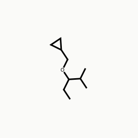 CCC(OCC1CC1)C(C)C